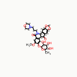 COc1cc2c(cc1O[C@@H]1O[C@@H](C)[C@@H](O)[C@@H](O)[C@@H]1O)C1C(=O)c3cc4c(cc3C1N(CCCN1CCOCC1)C2=O)OCO4